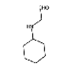 O=[C]CNC1CCCCC1